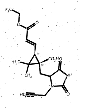 C#CCN1C(=O)NC(=O)C1C[C@@]1(C(=O)O)[C@H](C=CC(=O)OCC(F)(F)F)C1(C)C